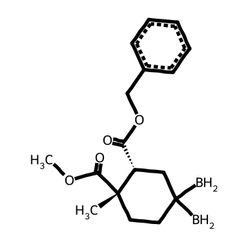 BC1(B)CC[C@](C)(C(=O)OC)[C@H](C(=O)OCc2ccccc2)C1